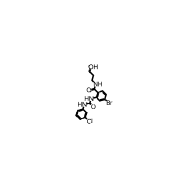 O=C(Nc1cccc(Cl)c1)Nc1cc(Br)ccc1C(=O)NCCCO